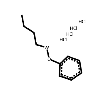 CCC[CH2][W][O]c1ccccc1.Cl.Cl.Cl.Cl